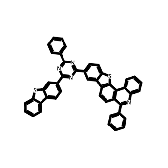 c1ccc(-c2nc(-c3ccc4c(c3)sc3ccccc34)nc(-c3ccc4sc5c(ccc6c(-c7ccccc7)nc7ccccc7c65)c4c3)n2)cc1